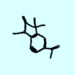 C=C1N(C)c2ccc(C(C)=O)cc2C1(C)C